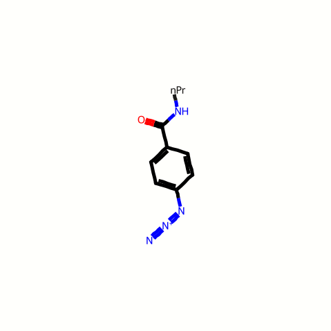 CCCNC(=O)c1ccc(N=[N+]=[N-])cc1